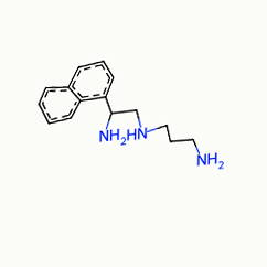 NCCCNCC(N)c1cccc2ccccc12